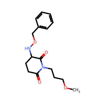 COCCCN1C(=O)CCC(NOCc2ccccc2)C1=O